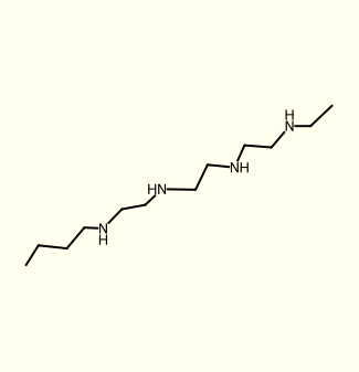 CCCCNCCNCCNCCNCC